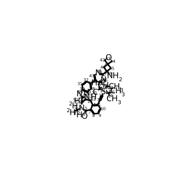 [2H]C([2H])([2H])N1C(=O)c2cccc(C#C[Si](C(C)C)(C(C)C)C(C)C)c2[C@H]2C[C@@H]1c1nc3ccc(-c4cnc(C5(N)CC6(COC6)C5)nc4)cc3n12